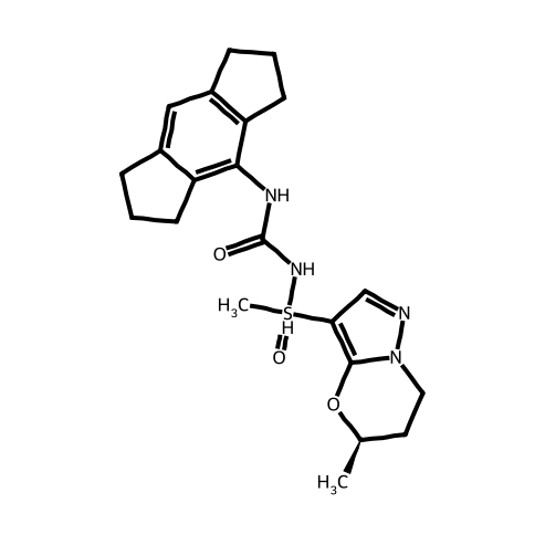 C[C@@H]1CCn2ncc([SH](C)(=O)NC(=O)Nc3c4c(cc5c3CCC5)CCC4)c2O1